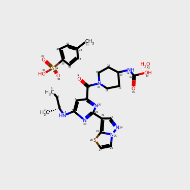 CC[C@@H](C)Nc1cc(C(=O)N2CCC(NC(=O)O)CC2)nc(-c2cnn3ccsc23)n1.Cc1ccc(S(=O)(=O)O)cc1.O